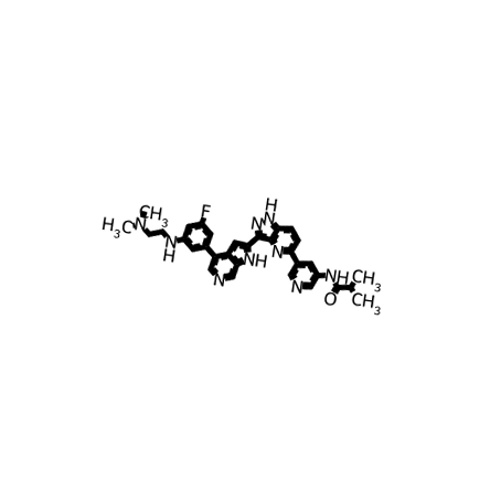 CC(C)C(=O)Nc1cncc(-c2ccc3[nH]nc(-c4cc5c(-c6cc(F)cc(NCCN(C)C)c6)cncc5[nH]4)c3n2)c1